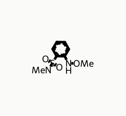 CNS(=O)(=O)c1ccccc1NOC